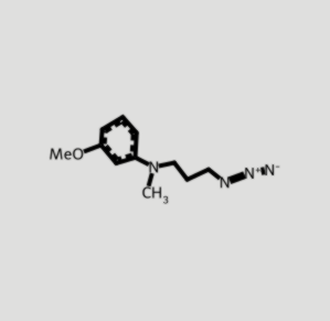 COc1cccc(N(C)CCCN=[N+]=[N-])c1